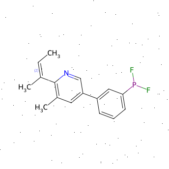 C/C=C(/C)c1ncc(-c2cccc(P(F)F)c2)cc1C